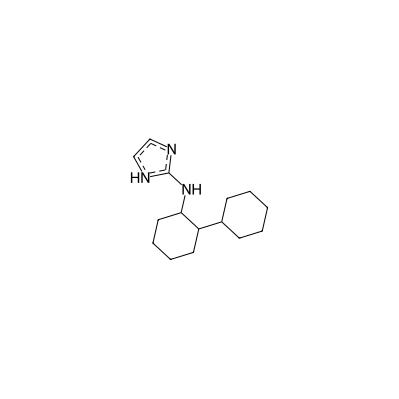 c1c[nH]c(NC2CCCCC2C2CCCCC2)n1